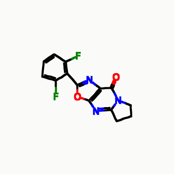 O=c1c2nc(-c3c(F)cccc3F)oc2nc2n1CCC2